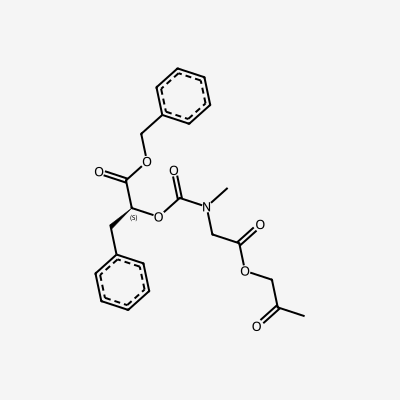 CC(=O)COC(=O)CN(C)C(=O)O[C@@H](Cc1ccccc1)C(=O)OCc1ccccc1